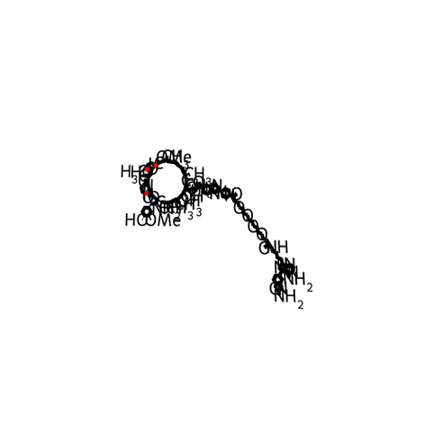 CO[C@H]1C[C@@H]2CC[C@@H](C)[C@@](O)(O2)C(=O)C(=O)N2CCCC[C@H]2C(=O)O[C@H]([C@H](N)C[C@@H]2CC[C@@H](O)[C@H](OC)C2)C[C@@H](O)[C@H](C)/C=C(\C)[C@@H](O)[C@@H](O)/C(=N/OCC(=O)N2CCc3nc(N4CCN(C(=O)CCOCCOCCOCCOCCC(=O)NCCCCn5nc(-c6ccc7oc(N)nc7c6)c6c(N)ncnc65)CC4)ncc3C2)[C@H](C)C[C@H](C)/C=C/C=C/C=C/1C